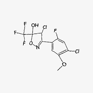 COc1cc(C2=NOC(O)(C(F)(F)F)C2Cl)c(F)cc1Cl